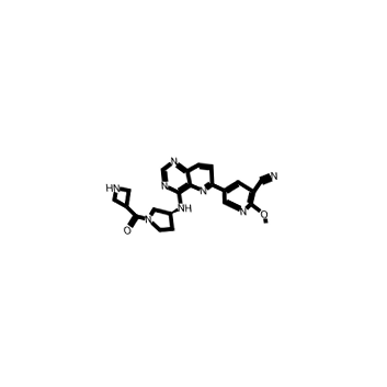 COc1ncc(-c2ccc3ncnc(N[C@H]4CCN(C(=O)C5CNC5)C4)c3n2)cc1C#N